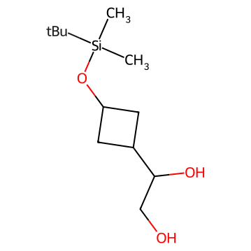 CC(C)(C)[Si](C)(C)OC1CC(C(O)CO)C1